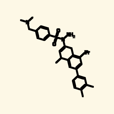 Cc1ccc(-c2cc(C(C)C)c3c(c2)C(C)C=C(N(N)S(=O)(=O)c2ccc(CN(C)C)cc2)C3)cc1C